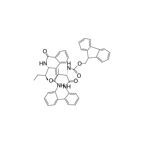 CC[C@H](C)[C@@H]1NC(=O)c2ccccc2/C1=C/C(=O)Nc1ccccc1-c1ccccc1NC(=O)[C@@H](NC(=O)OCC1c2ccccc2-c2ccccc21)C(C)C